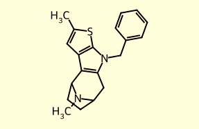 Cc1cc2c3c(n(Cc4ccccc4)c2s1)CC1CCC3N1C